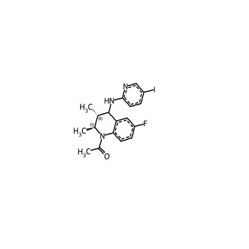 CC(=O)N1c2ccc(F)cc2C(Nc2ccc(I)cn2)[C@@H](C)[C@@H]1C